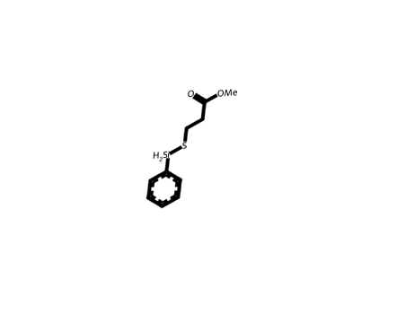 COC(=O)CCS[SiH2]c1ccccc1